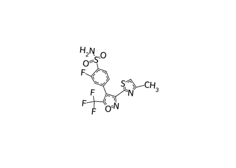 Cc1csc(-c2noc(C(F)(F)F)c2-c2ccc(S(N)(=O)=O)c(F)c2)n1